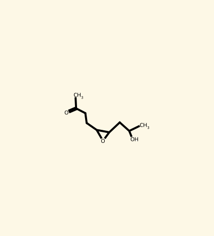 CC(=O)CCC1OC1CC(C)O